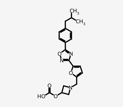 CC(C)Cc1ccc(-c2nc(-c3ccc(CN4CC(OC(=O)O)C4)o3)no2)cc1